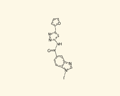 O=C(Nc1nnc(-c2ccco2)s1)c1ccc2c(c1)ncn2I